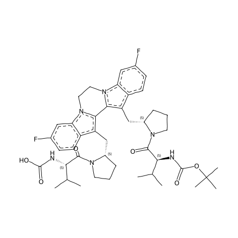 CC(C)[C@H](NC(=O)O)C(=O)N1CCC[C@H]1Cc1c2n(c3cc(F)ccc13)CCn1c-2c(C[C@@H]2CCCN2C(=O)[C@@H](NC(=O)OC(C)(C)C)C(C)C)c2ccc(F)cc21